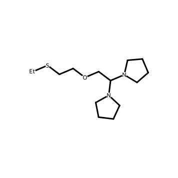 CCSCCOCC(N1CCCC1)N1CCCC1